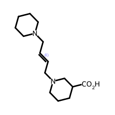 O=C(O)C1CCCN(C/C=C/CN2CCCCC2)C1